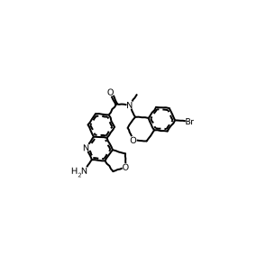 CN(C(=O)c1ccc2nc(N)c3c(c2c1)COC3)C1COCc2cc(Br)ccc21